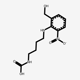 O=C(O)NCCCCNc1c(CO)cccc1[N+](=O)[O-]